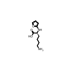 NCCCC[C@H](Nc1ccco1)C(=O)O